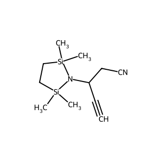 C#CC(CC#N)N1[Si](C)(C)CC[Si]1(C)C